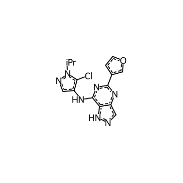 CC(C)n1ncc(Nc2nc(-c3ccoc3)nc3cn[nH]c23)c1Cl